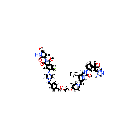 Cn1cnnc1CC1(c2cccc(-n3cc4c(C(F)(F)F)cc(CN5CCC(OCCOCc6ccc(CN7CCN(c8cc9c(cc8F)C(=O)N(C8CCC(=O)NC8=O)C9=O)CC7)cc6)CC5)cn4c3=O)c2)COC1